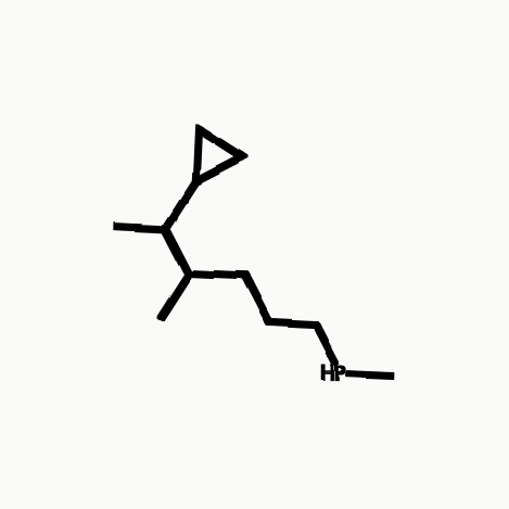 CPCCCC(C)C(C)C1CC1